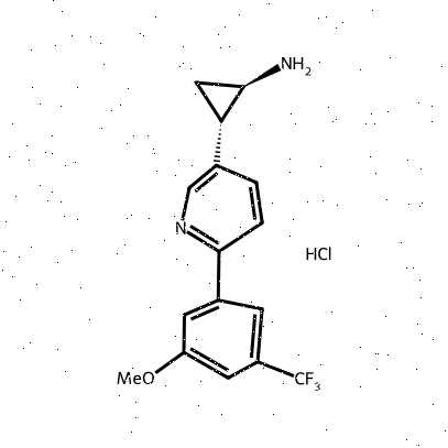 COc1cc(-c2ccc([C@@H]3C[C@H]3N)cn2)cc(C(F)(F)F)c1.Cl